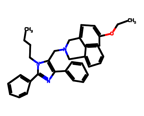 CCCCn1c(-c2ccccc2)nc(-c2ccccc2)c1CN(Cc1ccccc1)Cc1ccc(OCC)cc1